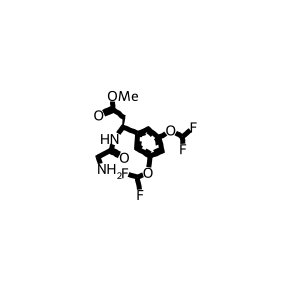 COC(=O)C[C@H](NC(=O)CN)c1cc(OC(F)F)cc(OC(F)F)c1